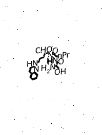 CCCC(NC(=O)C(N)CO)C(=O)NC(C=O)CCCCNc1ccc2ccccc2n1